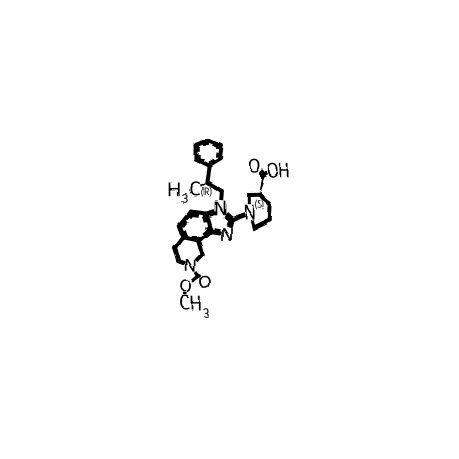 COC(=O)N1CCc2ccc3c(nc(N4CCC[C@H](C(=O)O)C4)n3C[C@H](C)c3ccccc3)c2C1